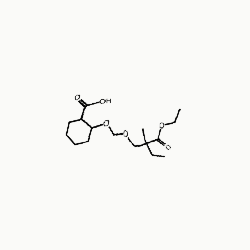 CCOC(=O)C(C)(CC)COCOC1CCCCC1C(=O)O